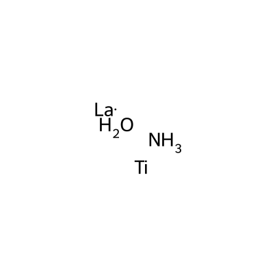 N.O.[La].[Ti]